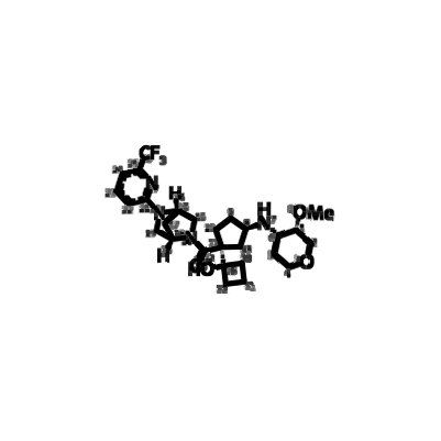 CO[C@@H]1COCC[C@@H]1N[C@@H]1CC[C@@](C(=O)N2C[C@@H]3C[C@H]2CN3c2cccc(C(F)(F)F)n2)(C2(O)CCC2)C1